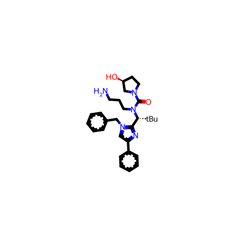 CC(C)(C)[C@H](c1nc(-c2ccccc2)cn1Cc1ccccc1)N(CCCN)C(=O)N1CC[C@H](O)C1